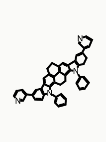 C1=C(c2cccnc2)CCc2c1c1cc3c4c(c1n2-c1ccccc1)CCc1c-4c(cc2c4cc(-c5cccnc5)ccc4n(-c4ccccc4)c12)CC3